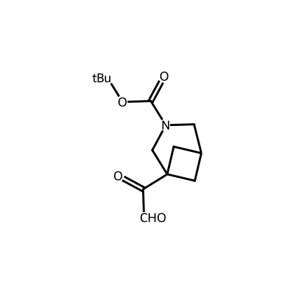 CC(C)(C)OC(=O)N1CC2CC(C(=O)C=O)(C2)C1